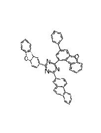 C1=CC2Oc3ccccc3C2C=C1c1nc(-c2ccc3c(ccc4ccccc43)c2)nc(-c2cc(-c3ccccc3)cc3oc4ccccc4c23)n1